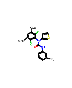 COc1cc(OC)c(Cl)c(N(C(=O)Nc2cccc(C(F)(F)F)c2)c2ccsc2)c1Cl